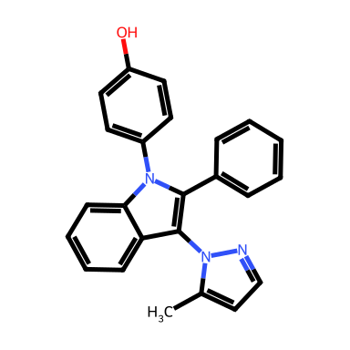 Cc1ccnn1-c1c(-c2ccccc2)n(-c2ccc(O)cc2)c2ccccc12